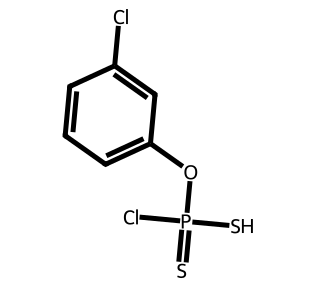 S=P(S)(Cl)Oc1cccc(Cl)c1